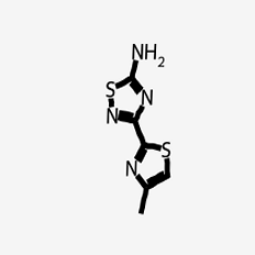 Cc1csc(-c2nsc(N)n2)n1